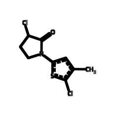 Cc1cc(N2CCC(Cl)C2=O)sc1Cl